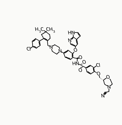 CC1(C)CCC(CN2CCN(c3ccc(C(=O)NS(=O)(=O)c4ccc(OC[C@H]5CN(CC#N)CCO5)c(Cl)c4)c(Oc4cnc5[nH]ccc5c4)c3)CC2)=C(c2ccc(Cl)cc2)C1